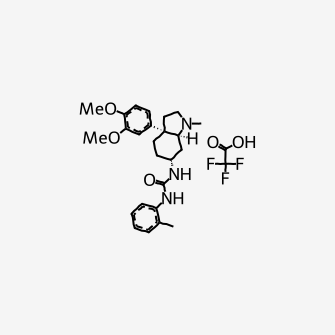 COc1ccc([C@@]23CC[C@@H](NC(=O)Nc4ccccc4C)C[C@@H]2N(C)CC3)cc1OC.O=C(O)C(F)(F)F